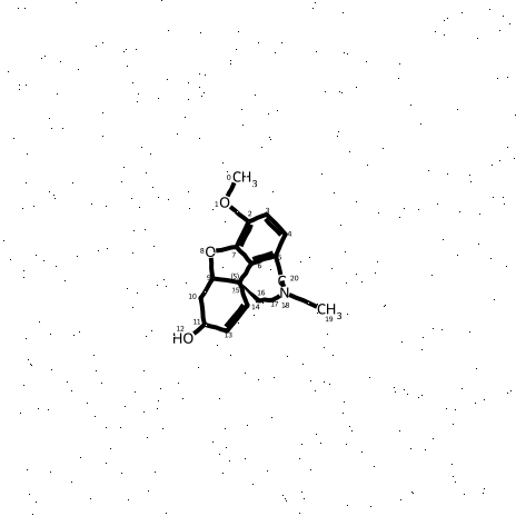 COc1ccc2c3c1OC1CC(O)C=C[C@@]31CCN(C)C2